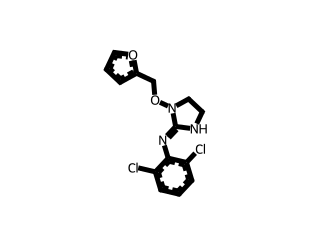 Clc1cccc(Cl)c1/N=C1\NCCN1OCc1ccco1